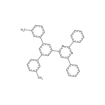 Cc1cccc(-c2cc(-c3cccc(C)c3)cc(-c3cc(-c4ccccc4)nc(-c4ccccc4)n3)c2)c1